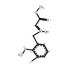 COC(=O)/C=[N+](\O)Cc1cccc(I)c1OC